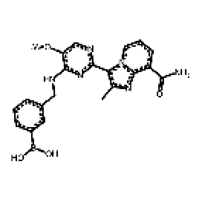 COc1cnc(-c2c(C)nc3c(C(N)=O)cccn23)nc1NCc1cccc(B(O)O)c1